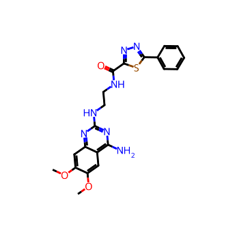 COc1cc2nc(NCCNC(=O)c3nnc(-c4ccccc4)s3)nc(N)c2cc1OC